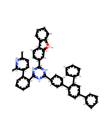 Cc1ccc(-c2ccccc2-c2nc(-c3ccc(-c4ccc(-c5ccccc5)cc4-c4ccccc4)cc3)nc(-c3ccc4c(c3)oc3ccccc34)n2)c(C)n1